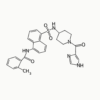 Cc1ccccc1C(=O)Nc1cccc2c(S(=O)(=O)NC3CCN(C(=O)c4c[nH]cn4)CC3)cccc12